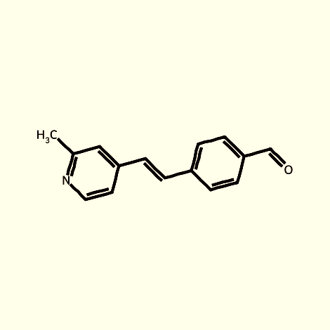 Cc1cc(C=Cc2ccc(C=O)cc2)ccn1